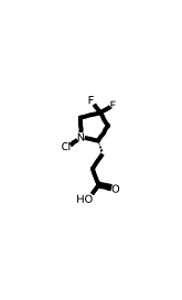 O=C(O)CC[C@H]1CC(F)(F)CN1Cl